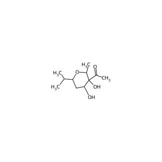 CC(=O)C1(O)C(O)CC(C(C)C)OC1C